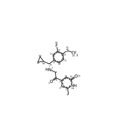 Cc1nc(C(=O)CN[C@@H](c2ccc(SC(F)(F)F)c(F)c2)C2CC2)cc(=O)[nH]1